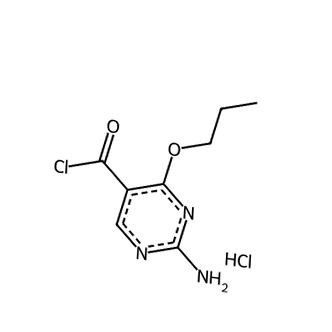 CCCOc1nc(N)ncc1C(=O)Cl.Cl